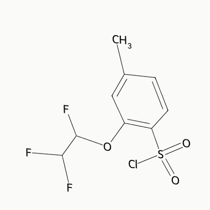 Cc1ccc(S(=O)(=O)Cl)c(OC(F)C(F)F)c1